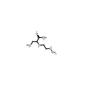 CCC(OCCOC)C(=O)O